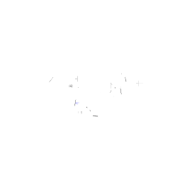 C=C(C)CC[C@](C)(O)C/C=C/[C@H]1CCC(=O)N1CCSc1nc(C(=O)O)cs1